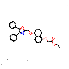 CCOC(=O)COc1cccc2c1CCC[C@H]2OCc1nc(-c2ccccc2)c(-c2ccccc2)o1